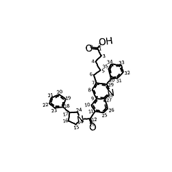 O=C(O)CCCCc1cc2cc(C(=O)N3CCC(c4ccccc4)C3)ccc2nc1-c1ccccc1